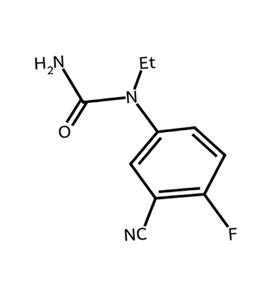 CCN(C(N)=O)c1ccc(F)c(C#N)c1